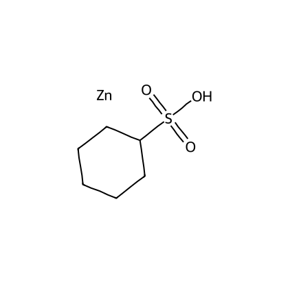 O=S(=O)(O)C1CCCCC1.[Zn]